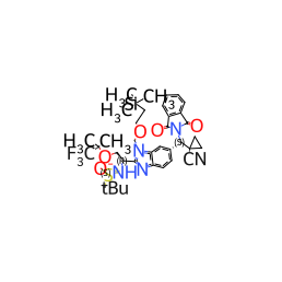 CC(C)(C)[S@@+]([O-])N[C@@H](COC(C)(C)C(F)(F)F)c1nc2ccc([C@H](N3C(=O)c4ccccc4C3=O)C3(C#N)CC3)cc2n1COCC[Si](C)(C)C